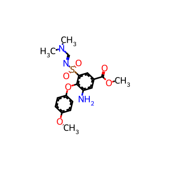 COC(=O)c1cc(N)c(Oc2ccc(OC)cc2)c(S(=O)(=O)N=CN(C)C)c1